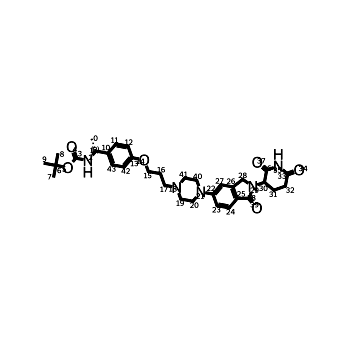 C[C@@H](NC(=O)OC(C)(C)C)c1ccc(OCCCN2CCN(c3ccc4c(c3)CN(C3CCC(=O)NC3=O)C4=O)CC2)cc1